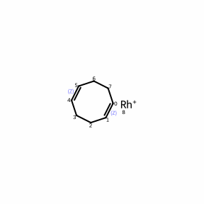 C1=C\CC/C=C\CC/1.[Rh+]